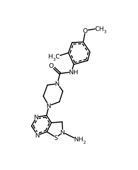 COc1ccc(NC(=O)N2CCN(c3ncnc4c3CN(N)S4)CC2)c(C)c1